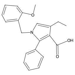 CCc1cn(Cc2ccccc2OC)c(-c2ccccc2)c1C(=O)O